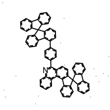 c1ccc2c(c1)-c1ccccc1C21c2ccccc2-c2c(-c3ccc(-c4nc5ccccc5c5c6c(ccc45)C4(c5ccccc5-c5ccccc54)c4ccccc4-6)cc3)cccc21